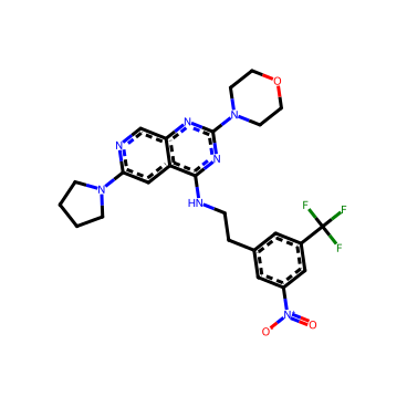 O=[N+]([O-])c1cc(CCNc2nc(N3CCOCC3)nc3cnc(N4CCCC4)cc23)cc(C(F)(F)F)c1